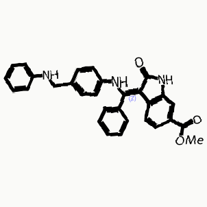 COC(=O)c1ccc2c(c1)NC(=O)/C2=C(\Nc1ccc(CNc2ccccc2)cc1)c1ccccc1